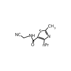 CCCc1nc(C)sc1C(=O)NCC#N